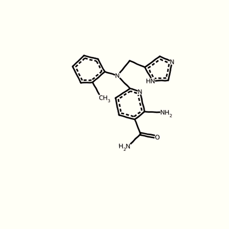 Cc1ccccc1N(Cc1cnc[nH]1)c1ccc(C(N)=O)c(N)n1